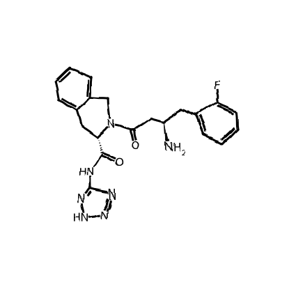 N[C@@H](CC(=O)N1Cc2ccccc2C[C@H]1C(=O)Nc1nn[nH]n1)Cc1ccccc1F